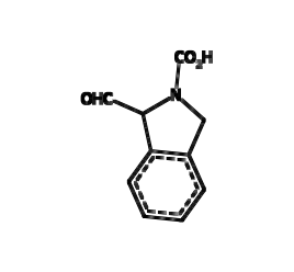 O=CC1c2ccccc2CN1C(=O)O